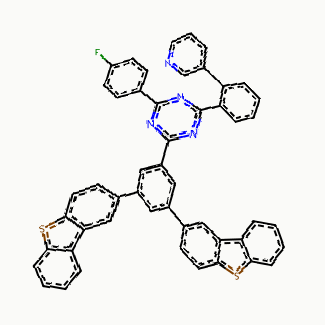 Fc1ccc(-c2nc(-c3cc(-c4ccc5sc6ccccc6c5c4)cc(-c4ccc5sc6ccccc6c5c4)c3)nc(-c3ccccc3-c3cccnc3)n2)cc1